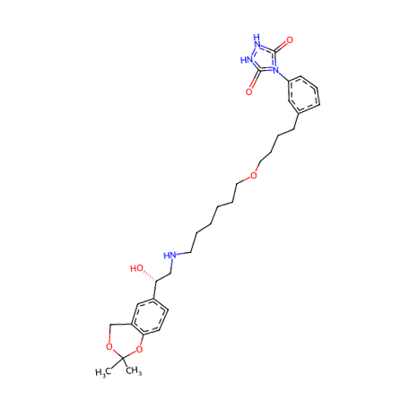 CC1(C)OCc2cc([C@H](O)CNCCCCCCOCCCCc3cccc(-n4c(=O)[nH][nH]c4=O)c3)ccc2O1